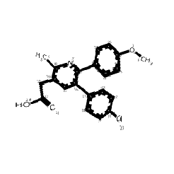 COc1ccc(-c2nc(C)c(CC(=O)O)cc2-c2ccc(Cl)cc2)cc1